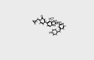 Cl.O=c1cc(-c2ccc3nc(Nc4cc(CN5CCNCC5)ccn4)[nH]c3c2)ccn1CC1CC1